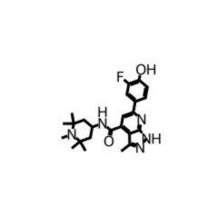 Cc1n[nH]c2nc(-c3ccc(O)c(F)c3)cc(C(=O)NC3CC(C)(C)N(C)C(C)(C)C3)c12